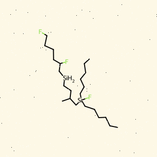 CCCCCC[Si](F)(CCCCCC)CC(C)CC[SiH2]CC(F)CCCCF